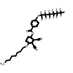 CCCCCCCCOc1ccc(OC(=O)c2ccc(OC(F)(F)C(F)(F)C(F)(F)C(F)(F)C(F)(F)C(F)(F)F)cc2)c(C#N)c1C#N